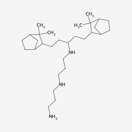 CC1(C)C2CCC(C2)C1CCC(CCC1C2CCC(C2)C1(C)C)NCCCNCCCN